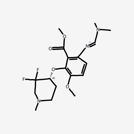 COC(=O)c1c(/N=C/N(C)C)ccc(OC)c1O[C@@H]1CCN(C)CC1(F)F